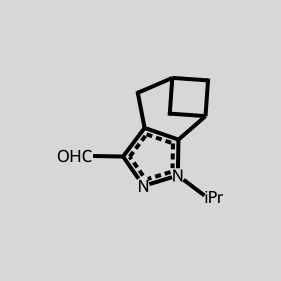 CC(C)n1nc(C=O)c2c1C1CC(C2)C1